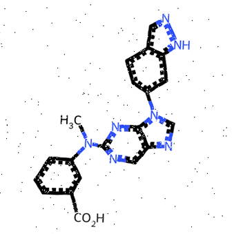 CN(c1cccc(C(=O)O)c1)c1ncc2ncn(-c3ccc4cn[nH]c4c3)c2n1